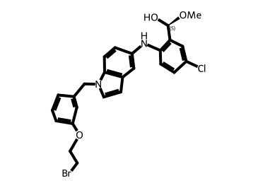 CO[C@H](O)c1cc(Cl)ccc1Nc1ccc2c(ccn2Cc2cccc(OCCBr)c2)c1